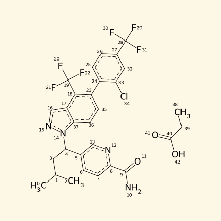 CC(C)CC(c1ccc(C(N)=O)nc1)n1ncc2c(C(F)(F)F)c(-c3ccc(C(F)(F)F)cc3Cl)ccc21.CCC(=O)O